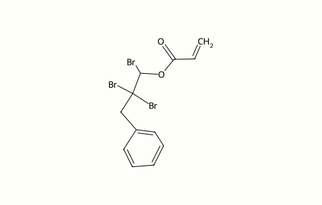 C=CC(=O)OC(Br)C(Br)(Br)Cc1ccccc1